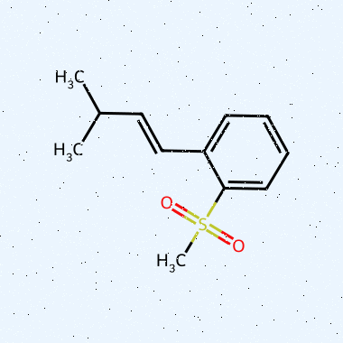 CC(C)/C=C/c1ccccc1S(C)(=O)=O